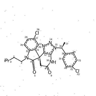 CC(C)CCN1C(=O)[C@]2(CC(=O)Nc3c2nnn3[C@@H](C)c2ccc(Cl)cc2)c2cc(Cl)ccc21